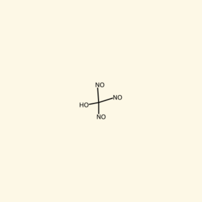 O=NC(O)(N=O)N=O